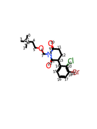 C[Si](C)(C)CCOCN1C(=O)CCC(c2cccc(Br)c2Cl)C1=O